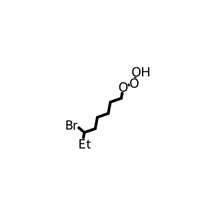 CCC(Br)CCCCCOOO